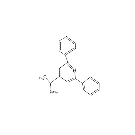 CC(N)c1cc(-c2ccccc2)nc(-c2ccccc2)c1